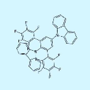 Fc1c(F)c(F)c(-c2cc(-n3c4ccccc4c4ccccc43)cc(-c3c(F)c(F)c(F)c(F)c3F)c2-n2c3ccccc3c3ccccc32)c(F)c1F